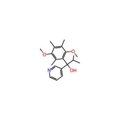 COc1c(C)c(C)c(OC)c(C(O)(c2cccnc2)C(C)C)c1C